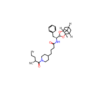 CC(C)CCC(C#N)C(=O)N1CCC(CCCC(=O)N[C@@H](Cc2ccccc2)B2O[C@@H]3C[C@@H]4C[C@@H](C4(C)C)[C@]3(C)O2)CC1